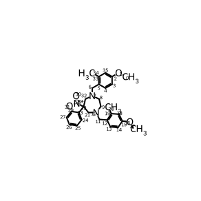 COc1ccc(CN2CCN(Cc3ccc(OC)cc3C)CC(c3ccccc3)([N+](=O)[O-])C2)c(C)c1